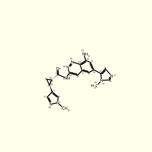 Cn1cc([C@H]2C[C@@H]2C(=O)Nc2cc3cc(-c4cncn4C)cc(N)c3nn2)cn1